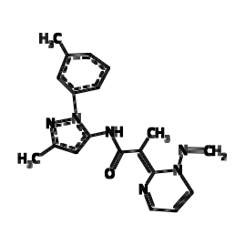 C=NN1C=CC=N/C1=C(/C)C(=O)Nc1cc(C)nn1-c1cccc(C)c1